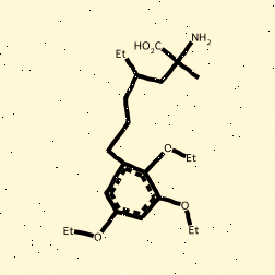 CCOc1cc(CCCC(CC)CC(C)(N)C(=O)O)c(OCC)c(OCC)c1